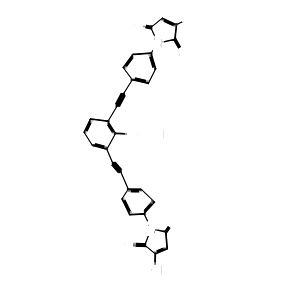 CC1=CC(=O)N(c2ccc(C#Cc3cccc(C#Cc4ccc(N5C(=O)C=C(C)C5=O)cc4)c3C(=O)O)cc2)C1=O